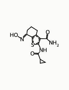 NC(=O)c1c(NC(=O)C2CC2)sc2c1CCCC2=NO